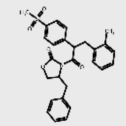 Cc1ccccc1CC(C(=O)N1C(=O)OCC1Cc1ccccc1)c1ccc(S(C)(=O)=O)cc1